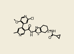 COc1cnc(Cl)cc1-c1cc(C)ncc1C(=O)Nc1nc2c(s1)C[C@H](NC(=O)C1CC1)CC2